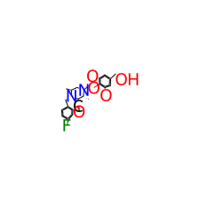 COc1cc(CO)cc(OC)c1OCN1C[C@H](C)N(Cc2ccc(F)cc2)C(=C=O)[C@H]1C